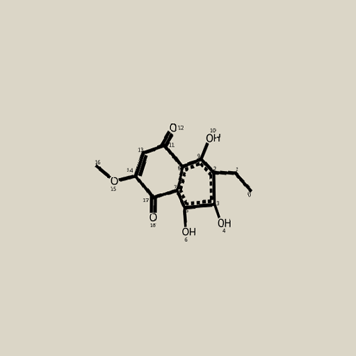 CCc1c(O)c(O)c2c(c1O)C(=O)C=C(OC)C2=O